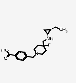 CC[C@@H]1C[C@H]1NCC1(F)CCN(Cc2ccc(C(=O)O)cc2)CC1